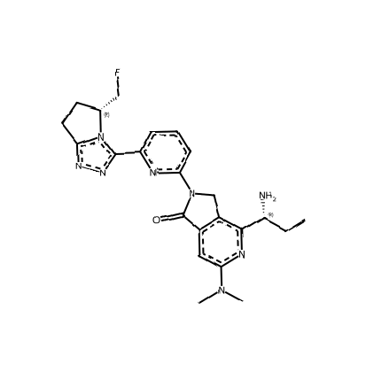 CC[C@@H](N)c1nc(N(C)C)cc2c1CN(c1cccc(-c3nnc4n3[C@@H](CF)CC4)n1)C2=O